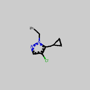 CC(C)Cn1n[c]c(Cl)c1C1CC1